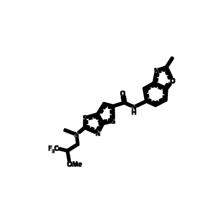 COC(CN(C)c1nc2sc(C(=O)Nc3ccc4oc(C)nc4c3)cc2s1)C(F)(F)F